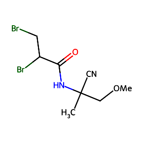 COCC(C)(C#N)NC(=O)C(Br)CBr